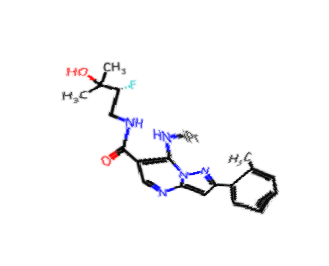 Cc1ccccc1-c1cc2ncc(C(=O)NC[C@@H](F)C(C)(C)O)c(NC(C)C)n2n1